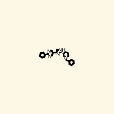 c1ccc(CN2CCC[C@H](c3nc(-c4cnc(-c5ccccc5)nc4)c[nH]3)C2)cc1